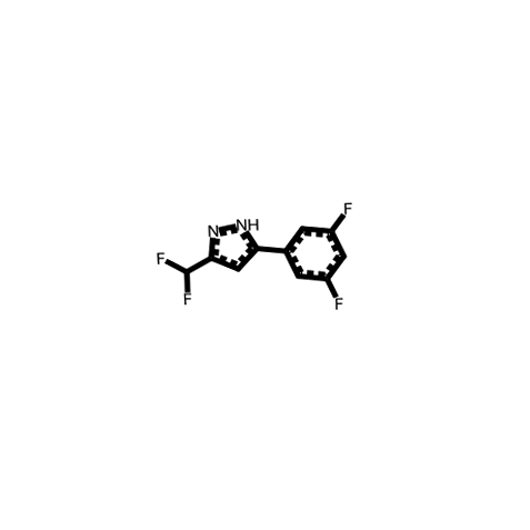 Fc1cc(F)cc(-c2cc(C(F)F)n[nH]2)c1